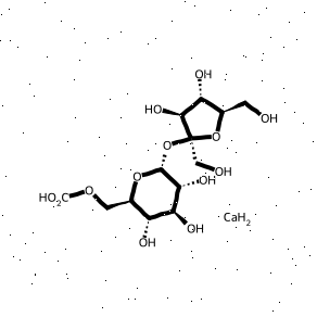 O=C(O)OC[C@H]1O[C@H](O[C@]2(CO)O[C@H](CO)[C@@H](O)[C@@H]2O)[C@H](O)[C@@H](O)[C@@H]1O.[CaH2]